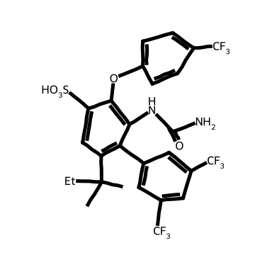 CCC(C)(C)c1cc(S(=O)(=O)O)c(Oc2ccc(C(F)(F)F)cc2)c(NC(N)=O)c1-c1cc(C(F)(F)F)cc(C(F)(F)F)c1